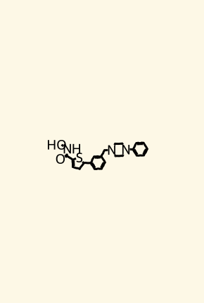 O=C(NO)C1=CCC(c2cccc(CN3CCN(c4ccccc4)CC3)c2)S1